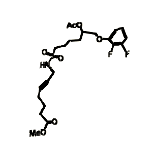 COC(=O)CCCC#CCNS(=O)(=O)CCCCC(COc1cccc(F)c1F)OC(C)=O